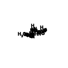 CN1CCN(c2ccnc3[nH]c(-c4n[nH]c5ncc(-c6cncc(NC(=O)C7CCCC7)c6)cc45)nc23)CC1